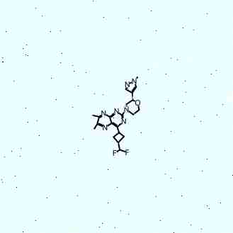 Cc1nc2nc(N3CCO[C@H](c4cnn(C)c4)C3)nc(C3CC(C(F)F)C3)c2nc1C